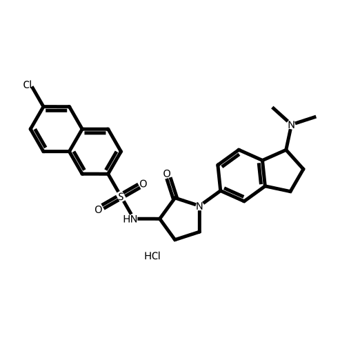 CN(C)C1CCc2cc(N3CCC(NS(=O)(=O)c4ccc5cc(Cl)ccc5c4)C3=O)ccc21.Cl